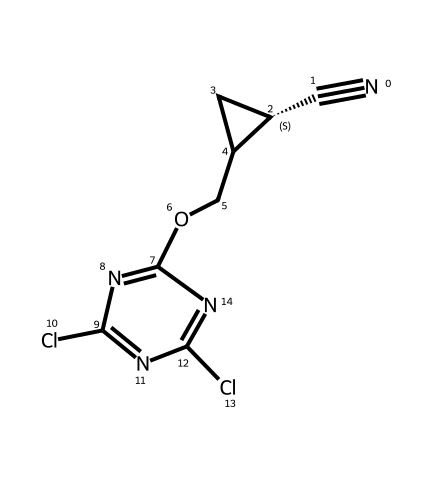 N#C[C@H]1CC1COc1nc(Cl)nc(Cl)n1